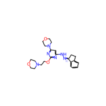 c1ccc2c(c1)CC/C2=N\Nc1cc(N2CCOCC2)nc(OCCN2CCOCC2)n1